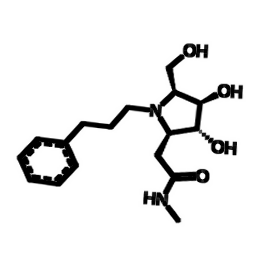 CNC(=O)C[C@@H]1[C@@H](O)[C@H](O)[C@H](CO)N1CCCc1ccccc1